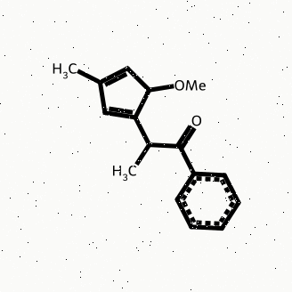 COC1C=C(C)C=C1C(C)C(=O)c1ccccc1